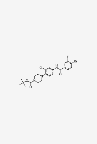 CC(C)(C)OC(=O)N1CCN(c2ccc(NC(=O)c3ccc(Br)c(F)c3)cc2Cl)CC1